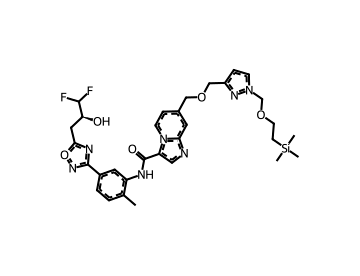 Cc1ccc(-c2noc(C[C@H](O)C(F)F)n2)cc1NC(=O)c1cnc2cc(COCc3ccn(COCC[Si](C)(C)C)n3)ccn12